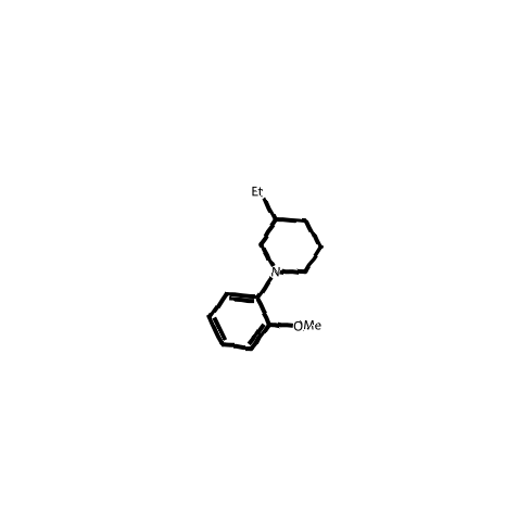 CCC1CCCN(c2ccccc2OC)C1